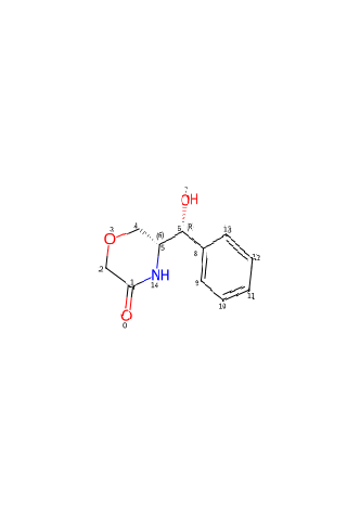 O=C1COC[C@H]([C@H](O)c2ccccc2)N1